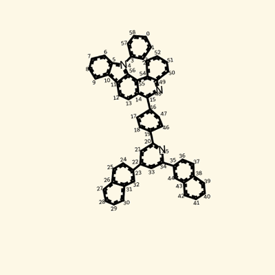 c1ccc(-n2c3ccccc3c3ccc4c(-c5ccc(-c6cc(-c7ccc8ccccc8c7)cc(-c7ccc8ccccc8c7)n6)cc5)nc5ccccc5c4c32)cc1